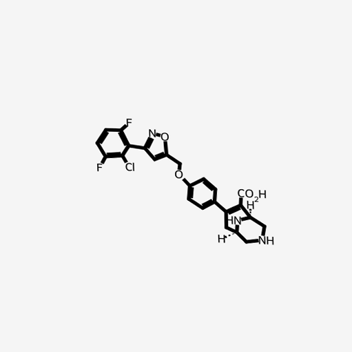 O=C(O)C1=C(c2ccc(OCc3cc(-c4c(F)ccc(F)c4Cl)no3)cc2)C[C@@H]2CNC[C@H]1N2